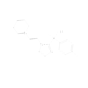 CC(O)(c1ccc(Cl)cc1)c1nccn1CCN1CCCCC1